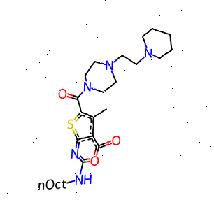 CCCCCCCCNc1nc2sc(C(=O)N3CCN(CCN4CCCCC4)CC3)c(C)c2c(=O)o1